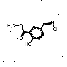 COC(=O)c1cc(/C=N\O)ccc1O